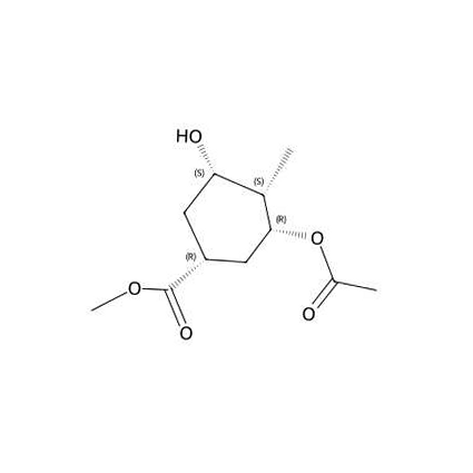 COC(=O)[C@@H]1C[C@H](O)[C@H](C)[C@H](OC(C)=O)C1